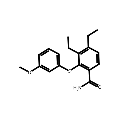 CCc1ccc(C(N)=O)c(Sc2cccc(OC)c2)c1CC